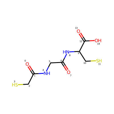 O=C(CS)NCC(=O)NC(CS)C(=O)O